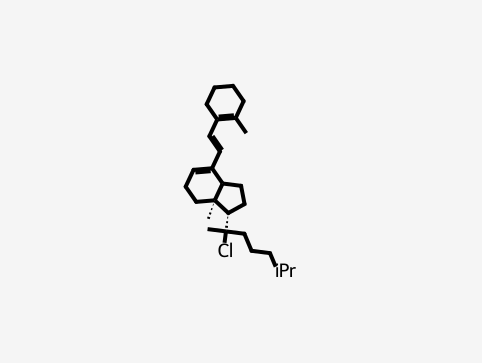 CC1=C(/C=C/C2=CCC[C@@]3(C)C2CC[C@@H]3C(C)(Cl)CCCC(C)C)CCCC1